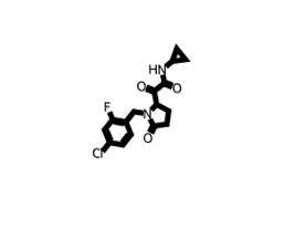 O=C(NC1CC1)C(=O)C1CCC(=O)N1Cc1ccc(Cl)cc1F